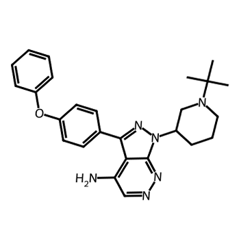 CC(C)(C)N1CCCC(n2nc(-c3ccc(Oc4ccccc4)cc3)c3c(N)cnnc32)C1